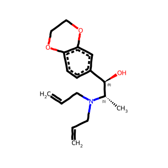 C=CCN(CC=C)[C@@H](C)[C@H](O)c1ccc2c(c1)OCCO2